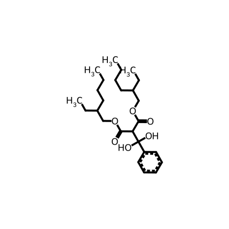 CCCCC(CC)COC(=O)C(C(=O)OCC(CC)CCCC)C(O)(O)c1ccccc1